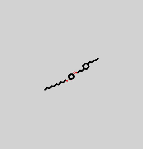 CCCCCCCCCCOc1ccc(OCC=CC2CCC(CCCCC)CC2)cc1